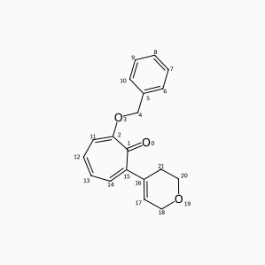 O=c1c(OCc2ccccc2)ccccc1C1=CCOCC1